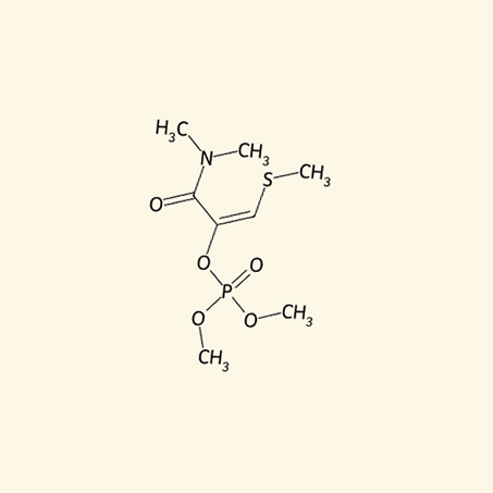 COP(=O)(OC)OC(=CSC)C(=O)N(C)C